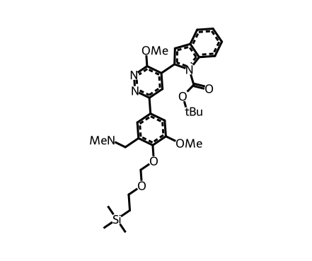 CNCc1cc(-c2cc(-c3cc4ccccc4n3C(=O)OC(C)(C)C)c(OC)nn2)cc(OC)c1OCOCC[Si](C)(C)C